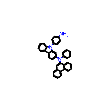 Nc1ccc(-n2c3ccccc3c3ccc(N(c4ccccc4)c4cc5ccccc5c5ccccc45)cc32)cc1